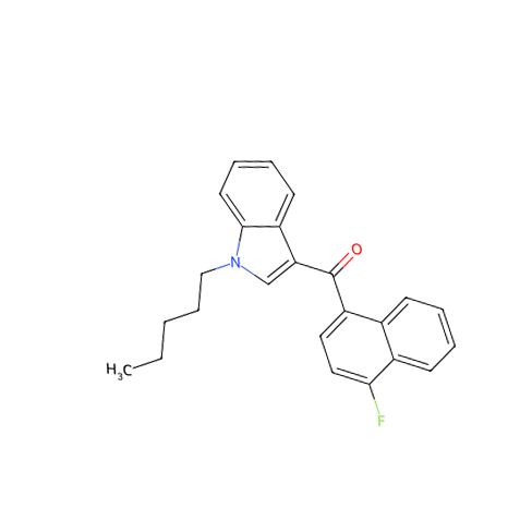 CCCCCn1cc(C(=O)c2ccc(F)c3ccccc23)c2ccccc21